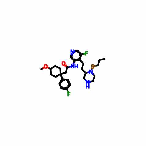 CCCSN1CCNCC1CCc1c(F)cncc1NC(=O)CC1(c2ccc(F)cc2)CCC(OC)CC1